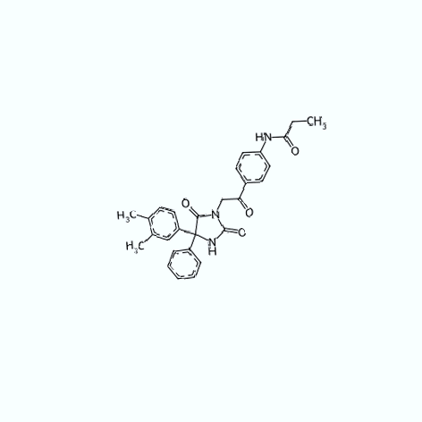 CCC(=O)Nc1ccc(C(=O)CN2C(=O)NC(c3ccccc3)(c3ccc(C)c(C)c3)C2=O)cc1